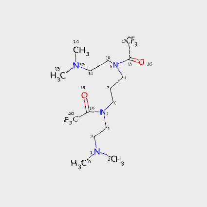 CN(C)CCN(CCCN(CCN(C)C)C(=O)C(F)(F)F)C(=O)C(F)(F)F